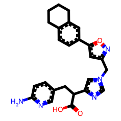 Nc1ccc(CC(C(=O)O)c2cn(Cc3cc(-c4ccc5c(c4)CCCC5)on3)cn2)cn1